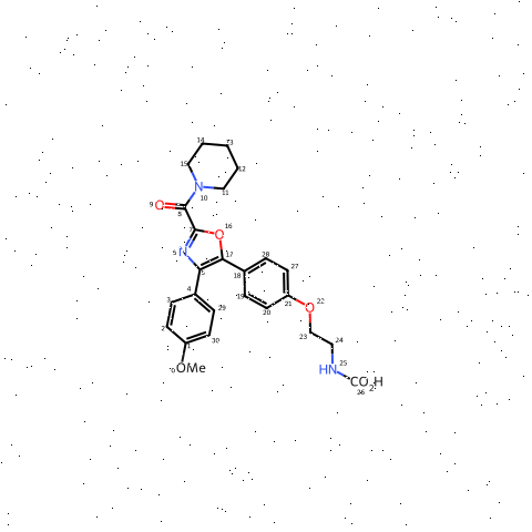 COc1ccc(-c2nc(C(=O)N3CCCCC3)oc2-c2ccc(OCCNC(=O)O)cc2)cc1